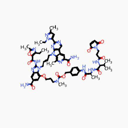 CCc1nc(C)oc1C(=O)Nc1nc2cc(C(N)=O)cc(OCCCN(C)C(=O)OCc3ccc(NC(=O)[C@H](C)NC(=O)[C@@H](NC(=O)CCN4C(=O)C=CC4=O)C(C)C)cc3)c2n1C/C=C/Cn1c2nc(-c3cc(C)nn3CC)ncc2c2cc(C(N)=O)nc(C)c21